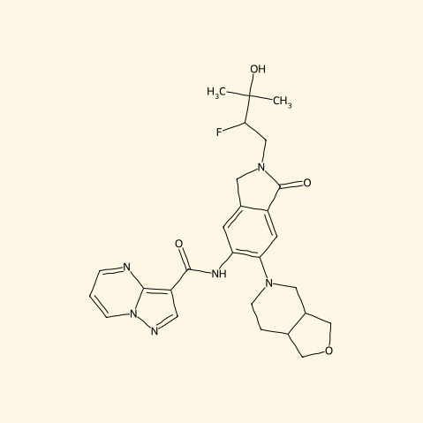 CC(C)(O)C(F)CN1Cc2cc(NC(=O)c3cnn4cccnc34)c(N3CCC4COCC4C3)cc2C1=O